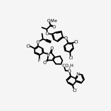 C#CC(C)Oc1cc(N2C(=O)C3=C(CCCC3)C2=O)c(F)cc1Cl.COC(=O)C(C)Oc1ccc(Oc2ccc(Cl)cc2Cl)cc1.O=C(O)COc1ccc(Cl)c2cccnc12